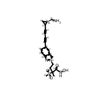 CC(CCn1cc2cc(C#CC#CC3C[C@H]3CN)ccc2n1)(C(=O)NO)S(C)(=O)=O